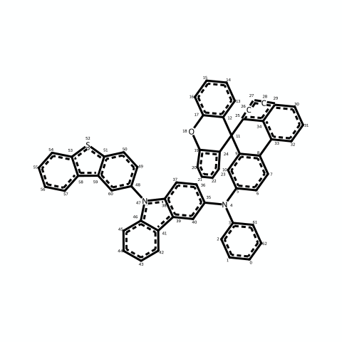 c1ccc(N(c2ccc3c(c2)C2(c4ccccc4Oc4ccccc42)c2cccc4cccc-3c24)c2ccc3c(c2)c2ccccc2n3-c2ccc3sc4ccccc4c3c2)cc1